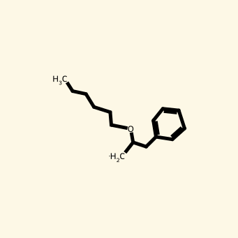 [CH2]C(Cc1ccccc1)OCCCCCC